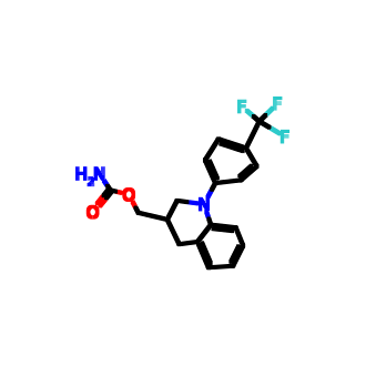 NC(=O)OCC1Cc2ccccc2N(c2ccc(C(F)(F)F)cc2)C1